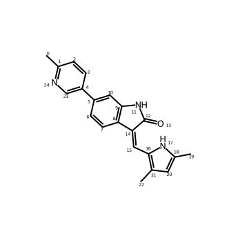 Cc1ccc(-c2ccc3c(c2)NC(=O)/C3=C\c2[nH]c(C)cc2C)cn1